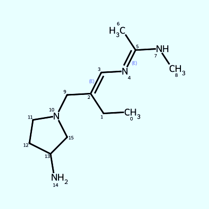 CC/C(=C\N=C(/C)NC)CN1CCC(N)C1